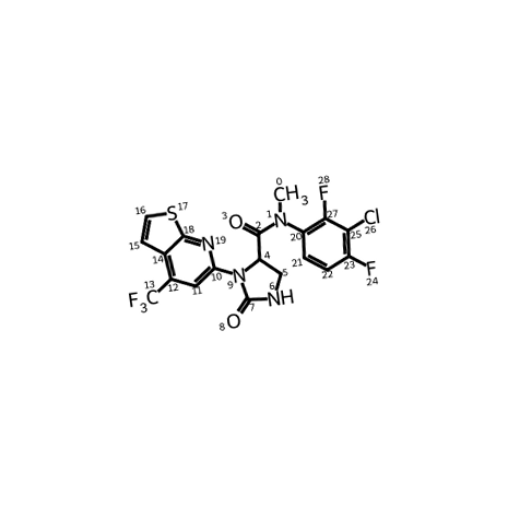 CN(C(=O)C1CNC(=O)N1c1cc(C(F)(F)F)c2ccsc2n1)c1ccc(F)c(Cl)c1F